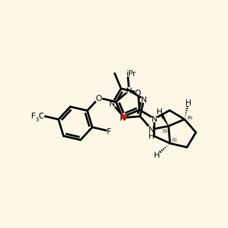 Cc1nnc(N2C[C@H]3CC[C@@H](C2)[C@@H]3Nc2nc(Oc3cc(C(F)(F)F)ccc3F)n(C(C)C)n2)o1